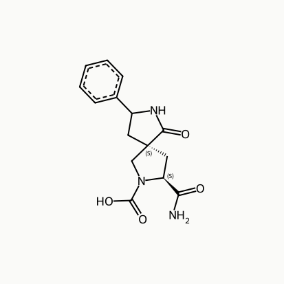 NC(=O)[C@@H]1C[C@@]2(CC(c3ccccc3)NC2=O)CN1C(=O)O